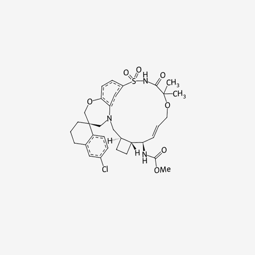 COC(=O)N[C@@H]1/C=C/COC(C)(C)C(=O)NS(=O)(=O)c2ccc3c(c2)N(C[C@@H]2CC[C@H]21)C[C@@]1(CCCc2cc(Cl)ccc21)CO3